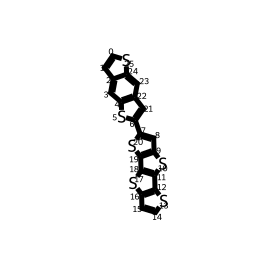 c1cc2cc3sc(-c4cc5sc6c7sccc7sc6c5s4)cc3cc2s1